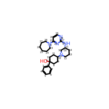 OC1(c2ccccc2)CCC(N2CCC[C@H](Nc3nccc(N4CCCCCC4)n3)C2)CC1